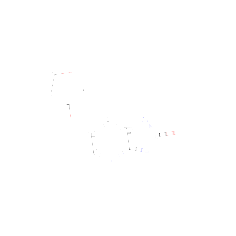 O=c1[nH]c2cc(OC3CCOC3)cnc2[nH]1